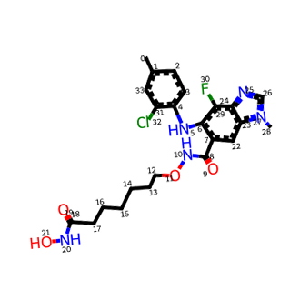 Cc1ccc(Nc2c(C(=O)NOCCCCCCC(=O)NO)cc3c(ncn3C)c2F)c(Cl)c1